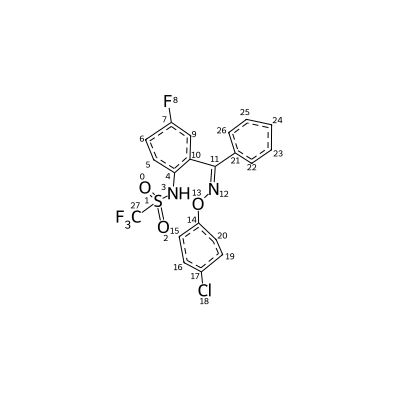 O=S(=O)(Nc1ccc(F)cc1/C(=N\Oc1ccc(Cl)cc1)c1ccccc1)C(F)(F)F